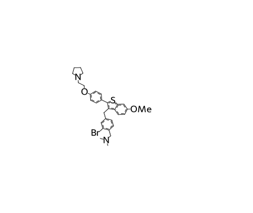 COc1ccc2c(Cc3ccc(CN(C)C)c(Br)c3)c(-c3ccc(OCCN4CCCC4)cc3)sc2c1